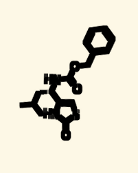 CC(C)C[C@H](NC(=O)OCc1ccccc1)c1csc(=O)[nH]1